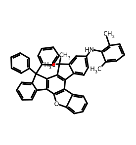 Cc1cccc(C)c1Nc1ccc2c(c1)C(C)(C)c1c3c(c4oc5ccccc5c4c1-2)-c1ccccc1C3(c1ccccc1)c1ccccc1